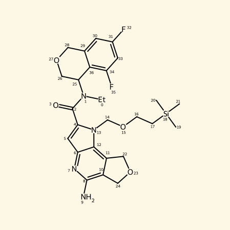 CCN(C(=O)c1cc2nc(N)c3c(c2n1COCC[Si](C)(C)C)COC3)C1COCc2cc(F)cc(F)c21